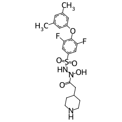 Cc1cc(C)cc(Oc2c(F)cc(S(=O)(=O)NN(O)C(=O)CC3CCNCC3)cc2F)c1